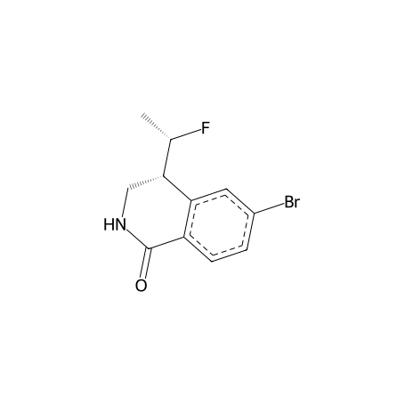 C[C@H](F)[C@H]1CNC(=O)c2ccc(Br)cc21